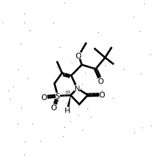 COC(C(=O)C(C)(C)C)C1=C(C)CS(=O)(=O)[C@H]2CC(=O)N12